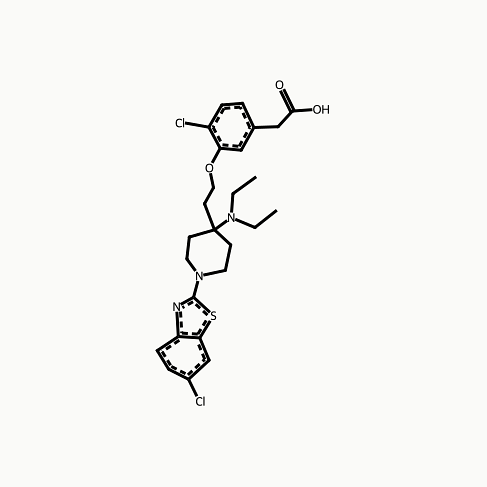 CCN(CC)C1(CCOc2cc(CC(=O)O)ccc2Cl)CCN(c2nc3ccc(Cl)cc3s2)CC1